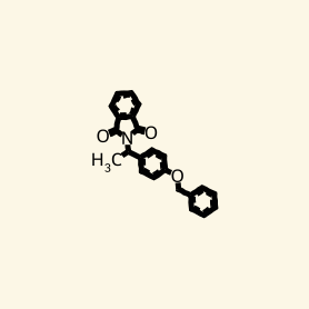 CC(c1ccc(OCc2ccccc2)cc1)N1C(=O)c2ccccc2C1=O